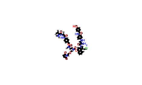 Cc1cccc2c(OC(=O)N(CCOCCN3C(=O)C=CC3=O)CCN(C)C(=O)OCc3ccc(NC(=O)[C@H](C)NC(=O)[C@H](C(C)C)N(C)C)cc3)cc3c(c12)[C@H](CCl)CN3C(=O)/C(N)=C/Nc1ccc(NC(=O)c2ccc(O)cc2)cc1